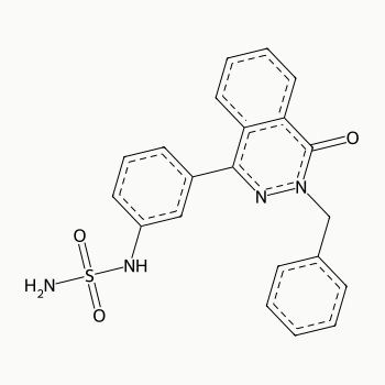 NS(=O)(=O)Nc1cccc(-c2nn(Cc3ccccc3)c(=O)c3ccccc23)c1